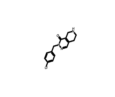 O=c1c2c(cnn1Cc1ccc(Cl)cc1)CCNC2